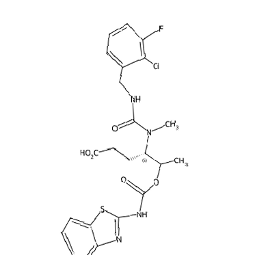 CC(OC(=O)Nc1nc2ccccc2s1)[C@H](CCC(=O)O)N(C)C(=O)NCc1cccc(F)c1Cl